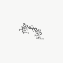 COC(=O)N[C@H](C(=O)N[C@@H](CC1CC1)c1ncc(-c2ccc3c(c2)OCC2=C3COc3cc(-c4cnc([C@@H]5CCCN5C(=O)[C@@H](NC(=O)OC)C(C)C)[nH]4)ccc32)[nH]1)C(C)C